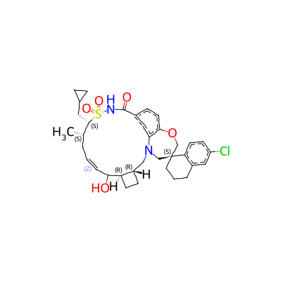 C[C@H]1C/C=C\C(O)[C@@H]2CC[C@H]2CN2C[C@@]3(CCCc4cc(Cl)ccc43)COc3ccc(cc32)C(=O)NS(=O)(=O)[C@H]1CC1CC1